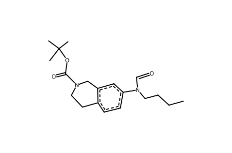 CCCCN(C=O)c1ccc2c(c1)CN(C(=O)OC(C)(C)C)CC2